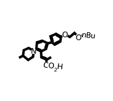 CCCCOCCOc1ccc(-c2ccc(N3CCC(C)CC3)c(C=C(C)C(=O)O)c2)cc1